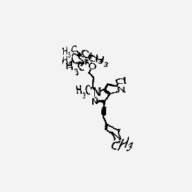 C[C@@H](CCO[Si](C)(C)C(C)(C)C)n1nc(C#CC2CN(C)C2)c2cnc(Cl)cc21